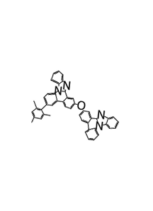 Cc1cc(C)c(-c2ccc3c(c2)c2ccc(Oc4ccc5c6ccccc6n6c7ccccc7nc6c5c4)cc2c2nc4ccccc4n32)c(C)c1